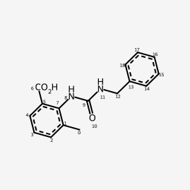 Cc1cccc(C(=O)O)c1NC(=O)NCc1ccccc1